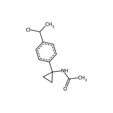 CC(=O)NC1(c2ccc(C(C)Cl)cc2)CC1